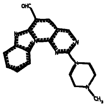 CN1CCN(c2ncc3cc(C=O)c4nc5ccccc5n4c3n2)CC1